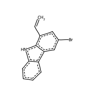 C=Cc1cc(Br)cc2c1[nH]c1ccccc12